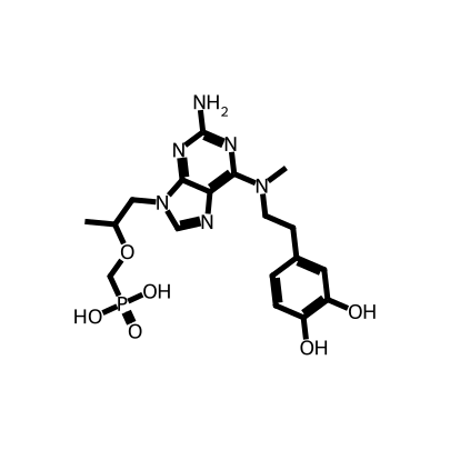 CC(Cn1cnc2c(N(C)CCc3ccc(O)c(O)c3)nc(N)nc21)OCP(=O)(O)O